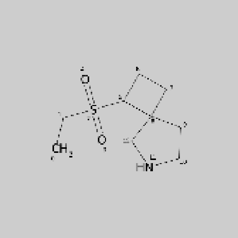 CCS(=O)(=O)C1CCC12CCNC2